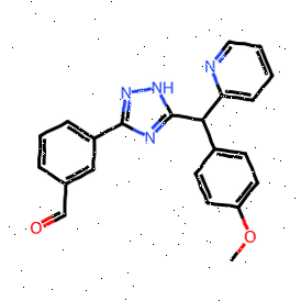 COc1ccc(C(c2ccccn2)c2nc(-c3cccc(C=O)c3)n[nH]2)cc1